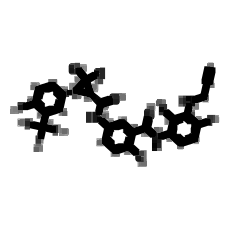 C#CCNc1c(F)ccc(NC(=O)c2cc(NC(=O)[C@H]3[C@H](c4ccc(F)c(C(F)(F)F)c4)C3(Cl)Cl)ccc2Cl)c1F